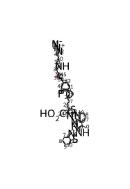 Cc1c(Nc2nc3ccccc3s2)nnc2c1CCCN2c1nc(C(=O)O)c(CCCOc2ccc(C34CC(CNCCCN=[N+]=[N-])(C3)C4)cc2F)s1